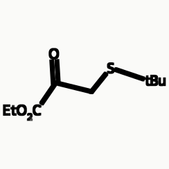 CCOC(=O)C(=O)CSC(C)(C)C